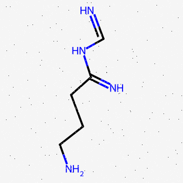 N=CNC(=N)CCCN